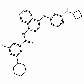 O=C(Nc1ccc(Oc2ccnc(NC3CCC3)n2)c2ccccc12)c1cc(F)cc(N2CCCCC2)c1